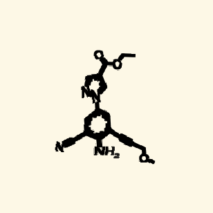 CCOC(=O)c1cnn(-c2cc(C#N)c(N)c(C#CCOC)c2)c1